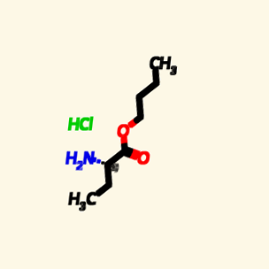 CCCCOC(=O)[C@@H](N)CC.Cl